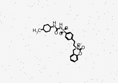 CC1CCC(NC(=O)NS(=O)(=O)c2ccc(CC[N+]3([O-])Cc4ccccc4OC3=O)cc2)CC1